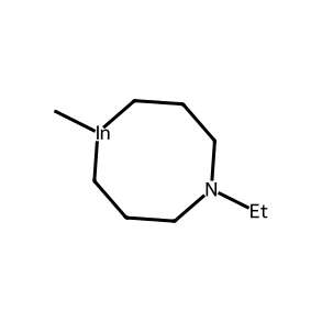 CCN1CC[CH2][In]([CH3])[CH2]CC1